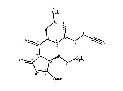 C#CCCC(=O)N[C@H](CCC(Cl)(Cl)Cl)C(=O)N1C(=O)C=C(OC)[C@@H]1CCC(Cl)(Cl)Cl